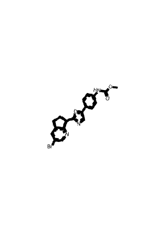 COC(=O)Nc1ccc(-c2cnc(C3CCc4cc(Br)cnc43)o2)cc1